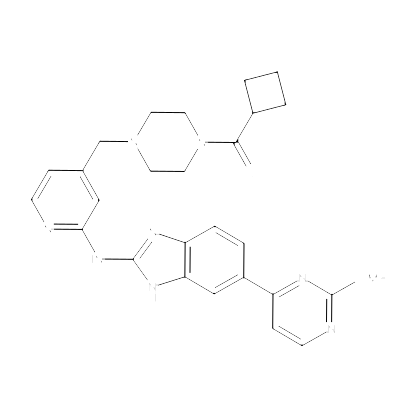 COc1nccc(-c2ccc3nc(Nc4cc(CN5CCN(C(=O)C6CCC6)CC5)ccn4)[nH]c3c2)n1